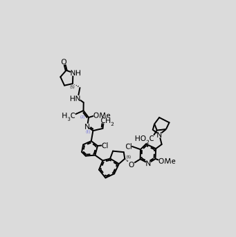 C=C/C(=N\C(OC)=C(/C)CNC[C@@H]1CCC(=O)N1)c1cccc(-c2cccc3c2CC[C@@H]3Oc2nc(OC)c(CN3CC4CCC3C4C(=O)O)cc2Cl)c1Cl